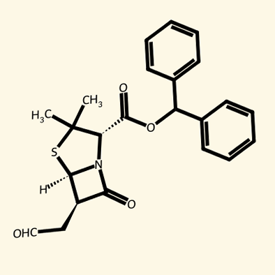 CC1(C)S[C@@H]2[C@H](CC=O)C(=O)N2[C@H]1C(=O)OC(c1ccccc1)c1ccccc1